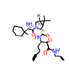 C#CCCC(NC(=O)[C@@H]1C2[C@H](CN1C(=O)[C@@H](N)C1(C)CCCCC1)C2(C)C)C(=O)C(=O)NCC=C